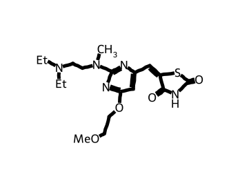 CCN(CC)CCN(C)c1nc(/C=C2/SC(=O)NC2=O)cc(OCCOC)n1